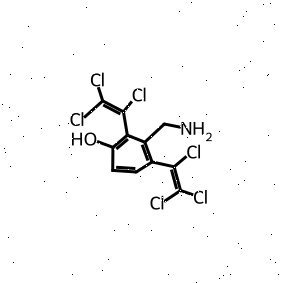 NCc1c(C(Cl)=C(Cl)Cl)ccc(O)c1C(Cl)=C(Cl)Cl